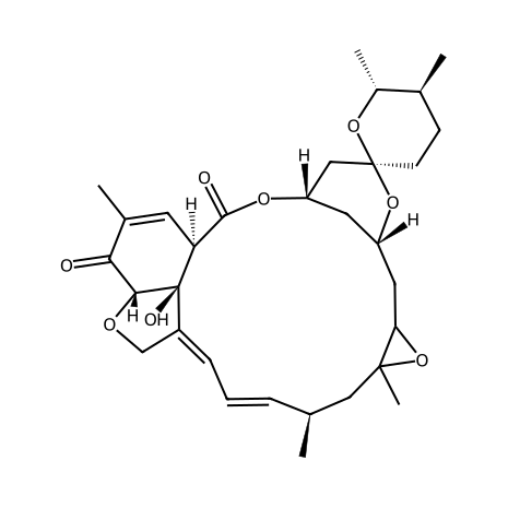 CC1=C[C@H]2C(=O)O[C@H]3C[C@@H](CC4OC4(C)C[C@@H](C)/C=C/C=C4\CO[C@H](C1=O)[C@@]42O)O[C@@]1(CC[C@H](C)[C@@H](C)O1)C3